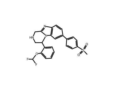 CS(=O)(=O)c1ccc(-c2ccc3nc4n(c3c2)C(c2ccccc2OC(F)F)CNC4)cc1